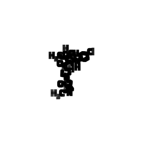 CCC(O)(CC)C(NC(=O)Nc1ccc(Cl)cc1)C(=O)N1CCN(N2Cc3cnc(C)n3C2=O)CC1